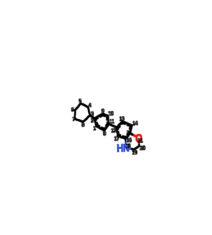 c1cc(C2CCCCC2)ccc1-c1ccc2c(c1)NCCO2